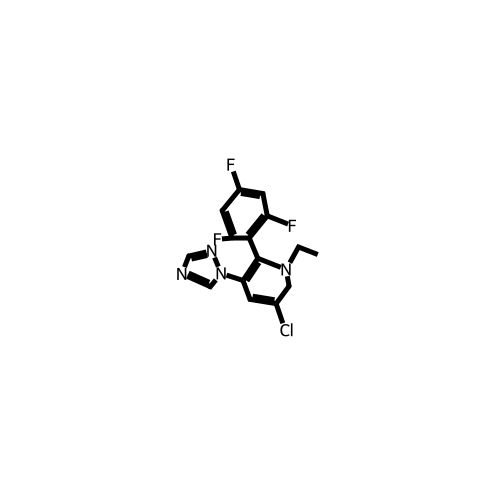 CCN1CC(Cl)=CC(n2cncn2)=C1c1c(F)cc(F)cc1F